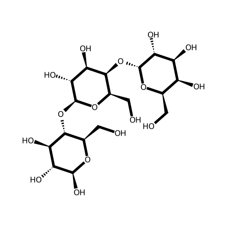 OC[C@H]1O[C@H](O[C@@H]2[C@H](O)[C@@H](O)[C@H](O[C@H]3[C@H](O)[C@@H](O)[C@H](O)O[C@@H]3CO)O[C@@H]2CO)[C@H](O)[C@@H](O)[C@H]1O